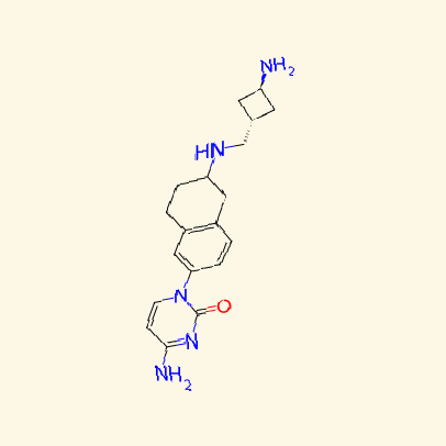 Nc1ccn(-c2ccc3c(c2)CCC(NC[C@H]2C[C@H](N)C2)C3)c(=O)n1